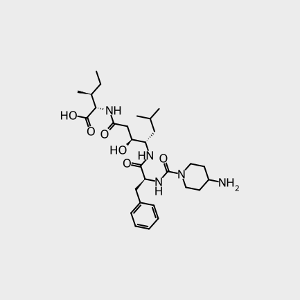 CC[C@H](C)[C@H](NC(=O)C[C@H](O)[C@H](CC(C)C)NC(=O)[C@H](Cc1ccccc1)NC(=O)N1CCC(N)CC1)C(=O)O